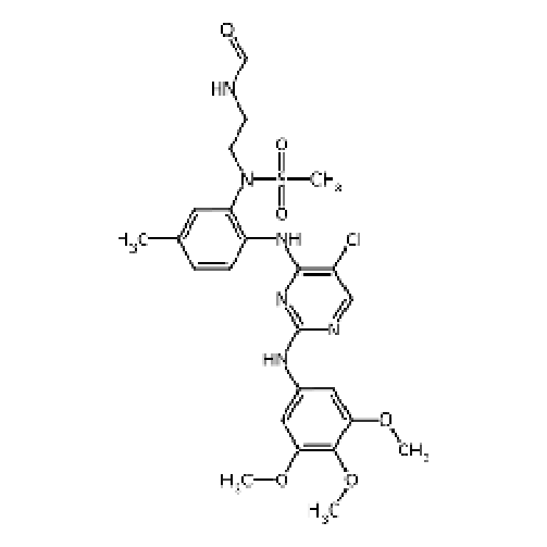 COc1cc(Nc2ncc(Cl)c(Nc3ccc(C)cc3N(CCNC=O)S(C)(=O)=O)n2)cc(OC)c1OC